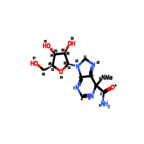 CNC1(C(N)=O)N=CN=C2C1=NCN2[C@@H]1O[C@H](CO)[C@@H](O)[C@H]1O